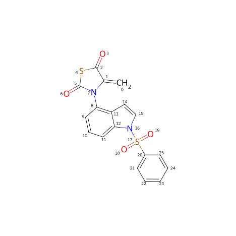 C=C1C(=O)SC(=O)N1c1cccc2c1ccn2S(=O)(=O)c1ccccc1